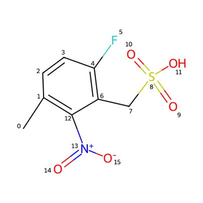 Cc1ccc(F)c(CS(=O)(=O)O)c1[N+](=O)[O-]